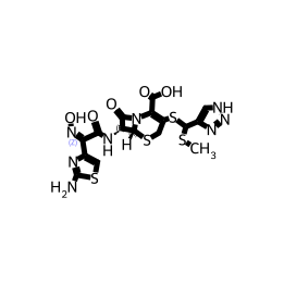 CSC(SC1=C(C(=O)O)N2C(=O)[C@@H](NC(=O)/C(=N\O)c3csc(N)n3)[C@H]2SC1)c1c[nH]nn1